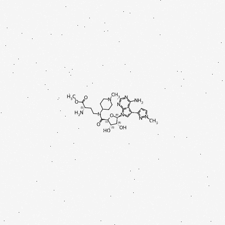 COC(=O)[C@@H](N)CCN(C(=O)[C@H]1O[C@@H](n2cc(-c3ccn(C)n3)c3c(N)ncnc32)[C@H](O)[C@@H]1O)C1CCN(C)CC1